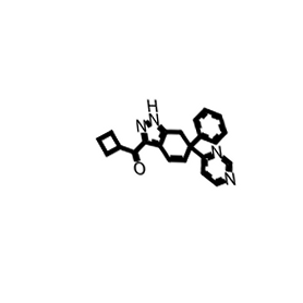 O=C(c1n[nH]c2c1C=CC(c1ccccc1)(c1ccncn1)C2)C1CCC1